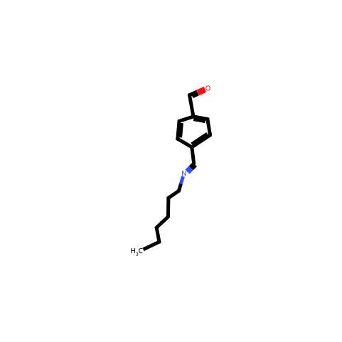 CCCCCCN=Cc1ccc(C=O)cc1